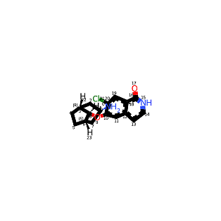 N[C@H]1C[C@H]2CC[C@@H](C1)[C@@H]2Oc1cc2cc[nH]c(=O)c2cc1Cl